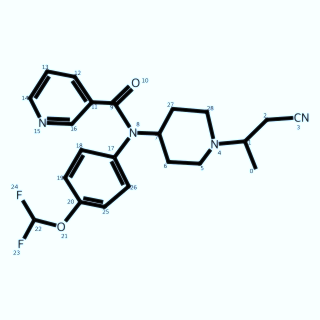 CC(CC#N)N1CCC(N(C(=O)c2cccnc2)c2ccc(OC(F)F)cc2)CC1